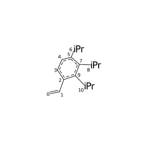 C=Cc1ccc(C(C)C)c(C(C)C)c1C(C)C